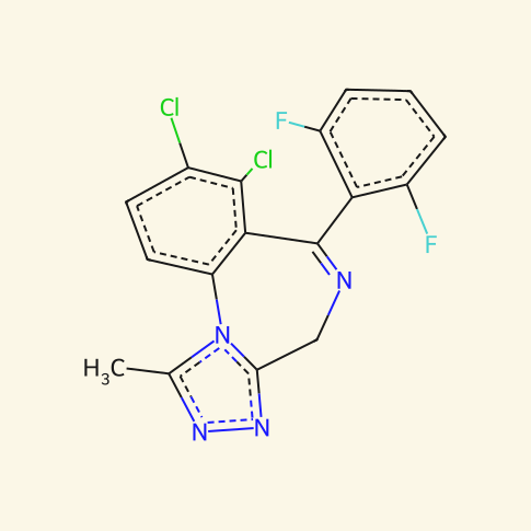 Cc1nnc2n1-c1ccc(Cl)c(Cl)c1C(c1c(F)cccc1F)=NC2